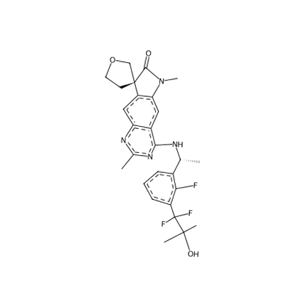 Cc1nc(N[C@H](C)c2cccc(C(F)(F)C(C)(C)O)c2F)c2cc3c(cc2n1)[C@@]1(CCOC1)C(=O)N3C